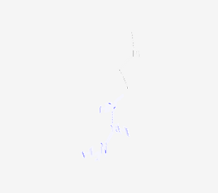 CBCCNNN